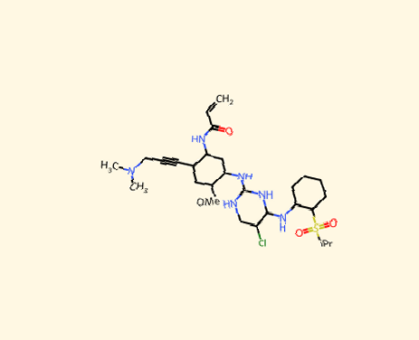 C=CC(=O)NC1CC(NC2NCC(Cl)C(NC3CCCCC3S(=O)(=O)C(C)C)N2)C(OC)CC1C#CCN(C)C